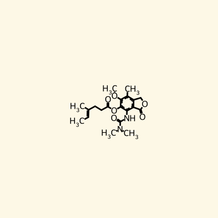 CC=C(C)CCC(=O)Oc1c(NC(=O)N(C)C)c2c(c(C)c1OC)COC2=O